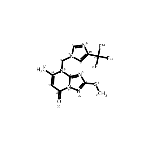 CSc1nc2n(Cn3cnc(C(F)(F)F)c3)c(C)cc(=O)n2n1